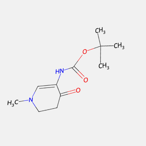 CN1C=C(NC(=O)OC(C)(C)C)C(=O)CC1